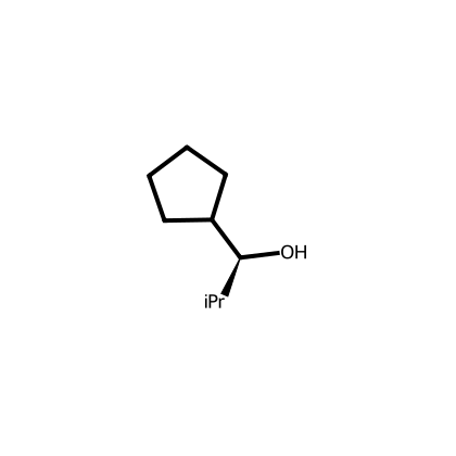 CC(C)[C@H](O)C1CCCC1